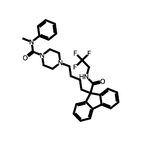 CN(C(=O)N1CCN(CCCCC2(C(=O)NCC(F)(F)F)c3ccccc3-c3ccccc32)CC1)c1ccccc1